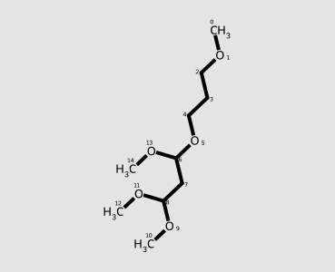 COCCCOC(CC(OC)OC)OC